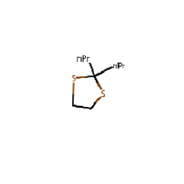 CCCC1(CCC)SCCS1